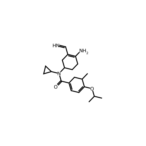 CC(C)OC1=CC=C(C(=O)N(C2CC2)C2CCC(N)=C(C=N)C2)CC1C